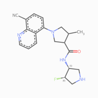 CC1CN(c2ccc(C#N)c3ncccc23)CC1C(=O)N[C@H]1CNC[C@H]1F